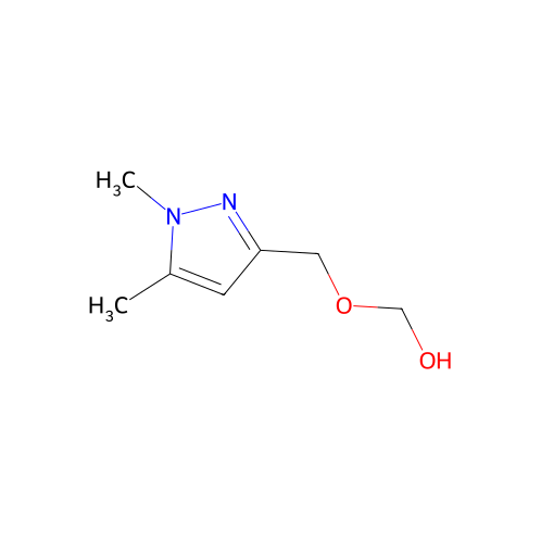 Cc1cc(COCO)nn1C